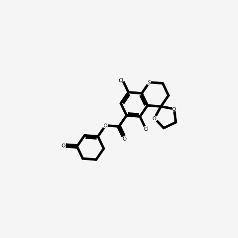 O=C1C=C(OC(=O)c2cc(Cl)c3c(c2Cl)C2(CCS3)OCCO2)CCC1